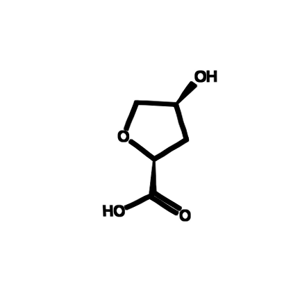 O=C(O)[C@@H]1C[C@H](O)CO1